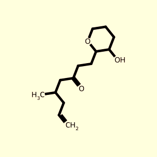 C=CCC(C)CC(=O)CCC1OCCCC1O